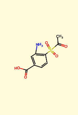 CC(=O)S(=O)(=O)c1ccc(C(=O)O)cc1N